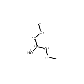 COOP(O)OOC